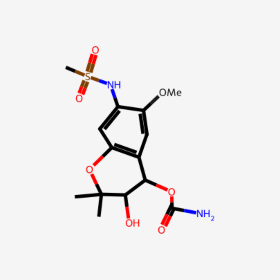 COc1cc2c(cc1NS(C)(=O)=O)OC(C)(C)C(O)C2OC(N)=O